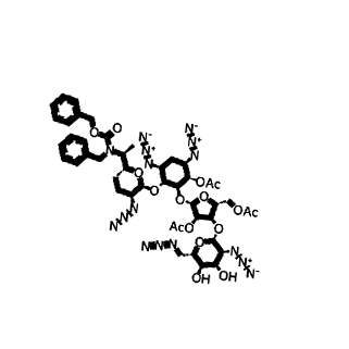 CC(=O)OC[C@H]1O[C@@H](O[C@@H]2[C@@H](OC(C)=O)[C@H](N=[N+]=[N-])C[C@H](N=[N+]=[N-])[C@H]2O[C@@H]2O[C@@H]([C@H](C)N(Cc3ccccc3)C(=O)OCc3ccccc3)CC[C@@H]2N=[N+]=[N-])[C@H](OC(C)=O)[C@@H]1O[C@H]1O[C@@H](CN=[N+]=[N-])[C@H](O)[C@H](O)[C@H]1N=[N+]=[N-]